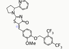 COc1cc(/C=C2/SC(N3CCCC3c3ccccn3)=NC2=O)ccc1OCc1ccc(C(F)(F)F)cc1C(F)(F)F